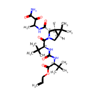 C=CCOC(=O)[C@@H](NC(=O)N[C@H](C(=O)N1C[C@H]2[C@@H]([C@H]1C(=O)NC(C)C(=O)C(N)=O)C2(C)C)C(C)(C)C)C(C)(C)C